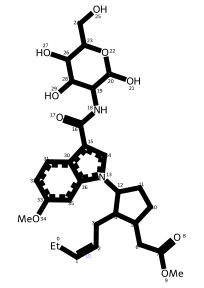 CC/C=C\CC1C(CC(=O)OC)CCC1n1cc(C(=O)NC2C(O)OC(CO)C(O)C2O)c2ccc(OC)cc21